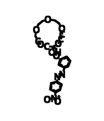 O=[N+]([O-])c1ccc(N=Nc2cccc(OCC3(O)COCCOCCOCCOCCO3)c2)cc1